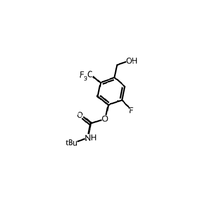 CC(C)(C)NC(=O)Oc1cc(C(F)(F)F)c(CO)cc1F